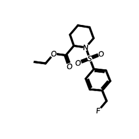 CCOC(=O)C1CCCCN1S(=O)(=O)c1ccc(CF)cc1